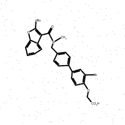 CCCCc1oc2ccccc2c1C(=O)N(C)Cc1ccc(-c2ccc(OCC(=O)O)c(Br)c2)cc1